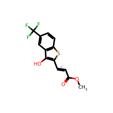 COC(=O)/C=C/c1sc2ccc(C(F)(F)F)cc2c1O